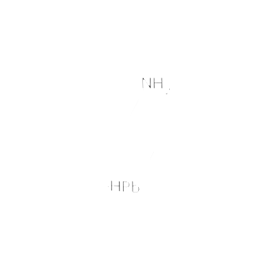 NC[CH2][PbH]